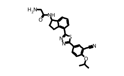 CC(C)Oc1ccc(-c2nnc(-c3cccc4c3CCC4NC(=O)CN)s2)cc1C#N